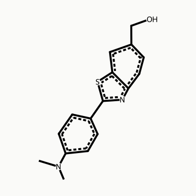 CN(C)c1ccc(-c2nc3ccc(CO)cc3s2)cc1